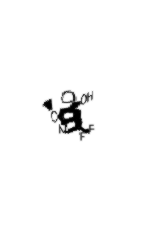 O=C(O)c1cc(OC2CC2)c2ncc(C(F)F)cc2c1